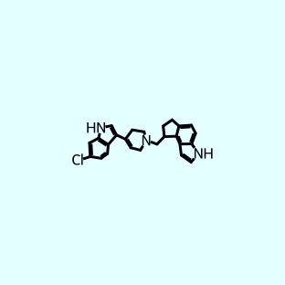 Clc1ccc2c(C3=CCN(CC4CCc5ccc6[nH]ccc6c54)CC3)c[nH]c2c1